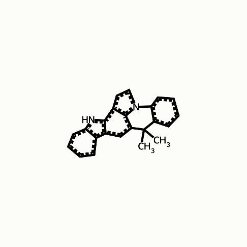 CC1(C)c2ccccc2-n2ccc3c4[nH]c5ccccc5c4cc1c32